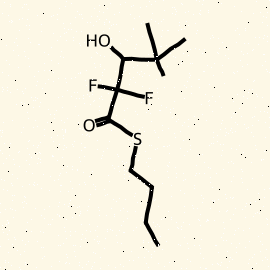 CCCCSC(=O)C(F)(F)C(O)C(C)(C)C